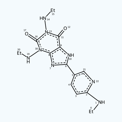 CCNc1ccc(-c2nc3c([nH]2)c(=O)n(NCC)c(=O)n3NCC)cn1